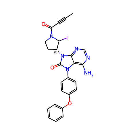 CC#CC(=O)N1CC[C@@H](n2c(=O)n(-c3ccc(Oc4ccccc4)cc3)c3c(N)ncnc32)C1I